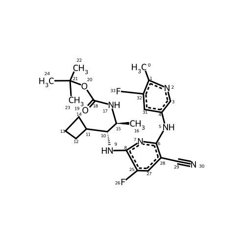 Cc1ncc(Nc2nc(N[C@H](C3CCC3)[C@H](C)NC(=O)OC(C)(C)C)c(F)cc2C#N)cc1F